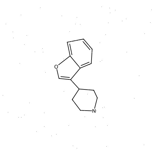 c1ccc2c(C3CC[N]CC3)coc2c1